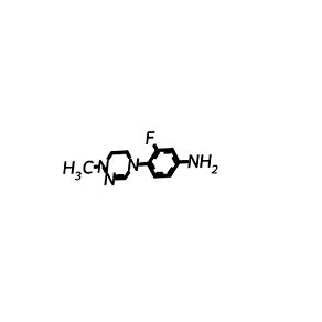 CN1CCN(c2ccc(N)cc2F)C=N1